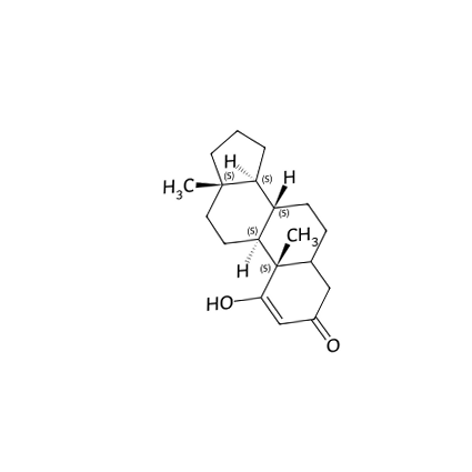 C[C@@]12CCC[C@H]1[C@@H]1CCC3CC(=O)C=C(O)[C@]3(C)[C@H]1CC2